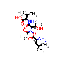 CC(=O)N(OC(=O)[C@@H](N)CC(C)C)[C@H](C(=O)N[C@H](C(=O)O)C(C)C)[C@@H](C)O